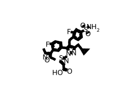 Cc1noc(C)c1-c1cc(-c2c(Cc3ccc(S(N)(=O)=O)cc3F)c(CC3CC3)nn2-c2nc(C(=O)O)cs2)ccc1F